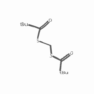 CC(C)(C)C(=O)SCSC(=O)C(C)(C)C